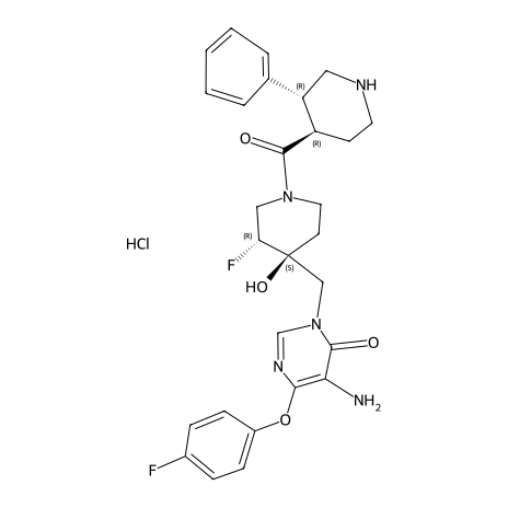 Cl.Nc1c(Oc2ccc(F)cc2)ncn(C[C@@]2(O)CCN(C(=O)[C@@H]3CCNC[C@H]3c3ccccc3)C[C@H]2F)c1=O